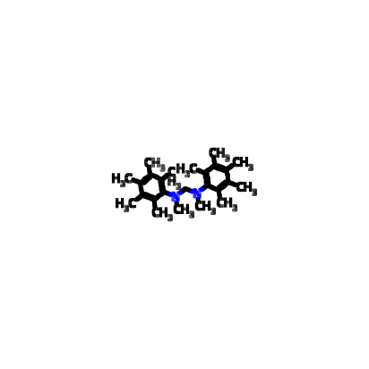 Cc1c(C)c(C)c(N(C)CN(C)c2c(C)c(C)c(C)c(C)c2C)c(C)c1C